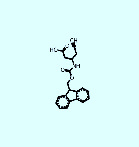 C#CCC(CC(=O)O)NC(=O)OCC1c2ccccc2-c2ccccc21